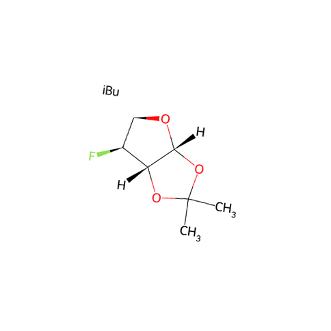 CC[C@H](C)[C@H]1O[C@@H]2OC(C)(C)O[C@@H]2[C@H]1F